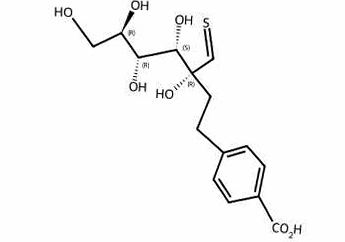 O=C(O)c1ccc(CC[C@](O)(C=S)[C@@H](O)[C@H](O)[C@H](O)CO)cc1